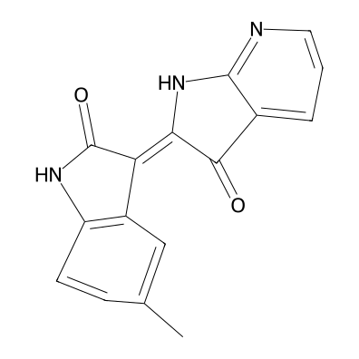 Cc1ccc2c(c1)/C(=C1/Nc3ncccc3C1=O)C(=O)N2